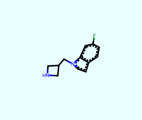 Fc1ccc2ccn(CC3CNC3)c2c1